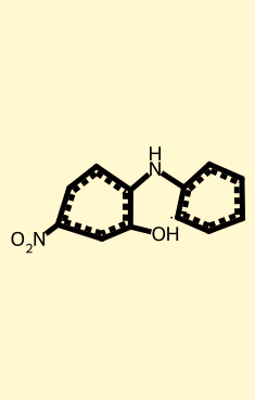 O=[N+]([O-])c1ccc(Nc2[c]cccc2)c(O)c1